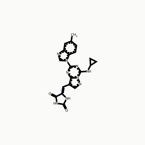 Cc1ccc2c(c1)ncn2-c1nc(NC2CC2)n2ncc(/C=C3\NC(=O)NC3=O)c2n1